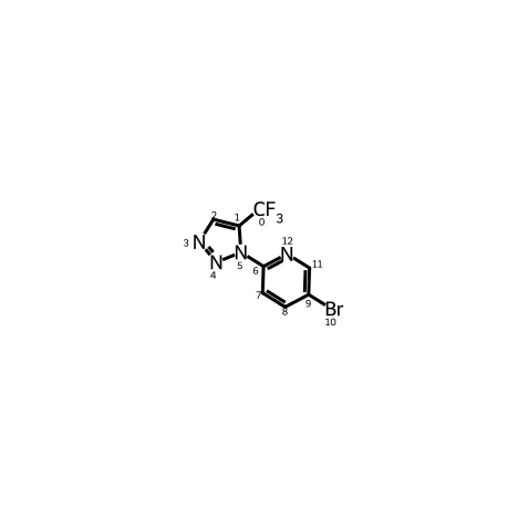 FC(F)(F)c1cnnn1-c1ccc(Br)cn1